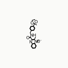 Cc1c(C(=O)NCc2ccc(C3(C)OCCO3)cc2)nc2ccccc2[n+]1[O-]